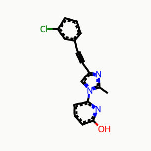 Cc1nc(C#Cc2cccc(Cl)c2)cn1-c1cccc(O)n1